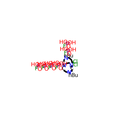 CCCCN1CCCN2CCN(CCCC)CCC(Cl)(Cl)N(CC1)CC2.O=P(O)(O)F.O=P(O)(O)F.O=P(O)(O)F.O=P(O)(O)F.O=P(O)(O)F.O=P(O)(O)F